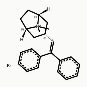 C[N+]1(C)[C@@H]2CC[C@H]1C[C@@H](C=C(c1ccccc1)c1ccccc1)C2.[Br-]